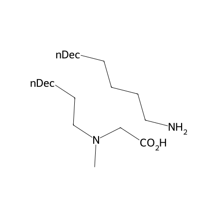 CCCCCCCCCCCCCCN.CCCCCCCCCCCCN(C)CC(=O)O